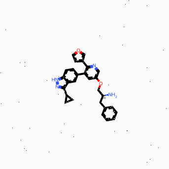 N[C@H](COc1cnc(-c2ccoc2)c(-c2ccc3[nH]nc(C4CC4)c3c2)c1)Cc1ccccc1